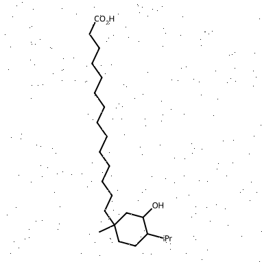 CC(C)C1CCC(C)(CCCCCCCCCCCCCC(=O)O)CC1O